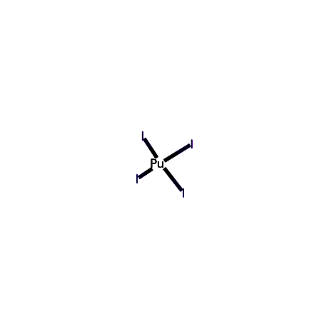 [I][Pu]([I])([I])[I]